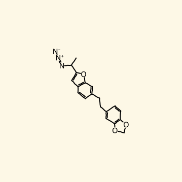 CC(N=[N+]=[N-])c1cc2ccc(CCc3ccc4c(c3)OCO4)cc2o1